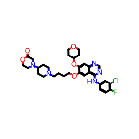 O=C1CN(C2CCN(CCCCOc3cc4c(Nc5ccc(F)c(Cl)c5)ncnc4cc3OC3CCOCC3)CC2)CCO1